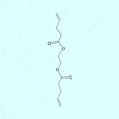 C=CCCC(=O)OCCOC(=O)CCC=C